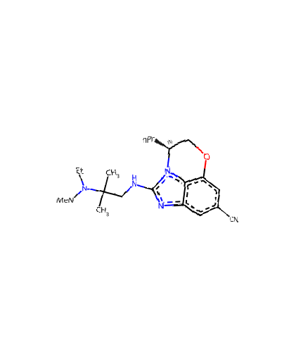 CCC[C@H]1COc2cc(C#N)cc3nc(NCC(C)(C)N(CC)NC)n1c23